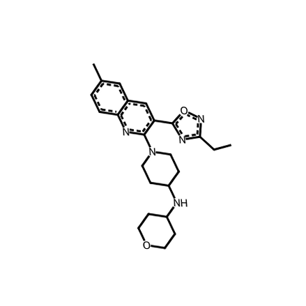 CCc1noc(-c2cc3cc(C)ccc3nc2N2CCC(NC3CCOCC3)CC2)n1